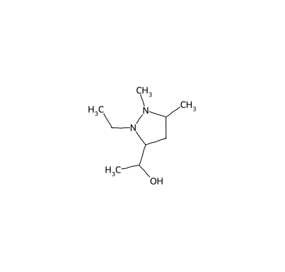 CCN1C(C(C)O)CC(C)N1C